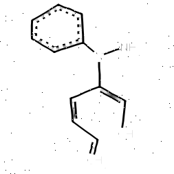 C=C/C=C\C(=C/C)N(N)c1ccccc1